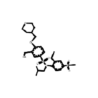 CCc1cc(S(C)(=O)=O)ccc1N(CC(C)C)S(=O)(=O)c1ccc(OCC2CCOCC2)c(CO)c1